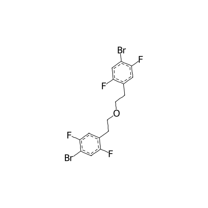 Fc1cc(CCOCCc2cc(F)c(Br)cc2F)c(F)cc1Br